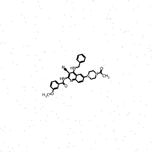 COc1cccc(C(=O)Nc2nc3ccc(N4CCN(C(C)=O)CC4)cc3c(NCc3ccccc3)c2C#N)c1